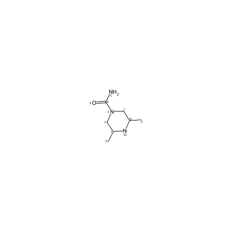 CC1CN(C(N)=O)CC(C)[N]1